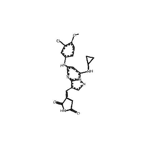 COc1ccc(Nc2cc(NC3CC3)n3ncc(C=C4CC(=O)NC4=O)c3n2)cc1Cl